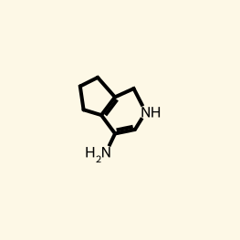 NC1=CNCC2=C1CCC2